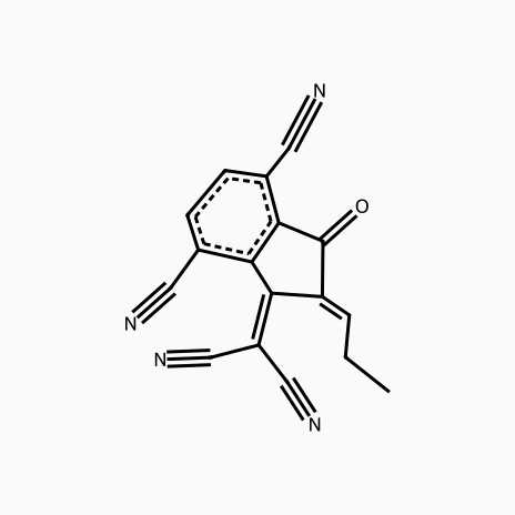 CC/C=C1/C(=O)c2c(C#N)ccc(C#N)c2C1=C(C#N)C#N